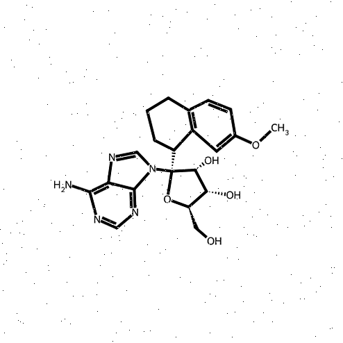 COc1ccc2c(c1)C([C@@]1(n3cnc4c(N)ncnc43)O[C@H](CO)[C@@H](O)[C@H]1O)CCC2